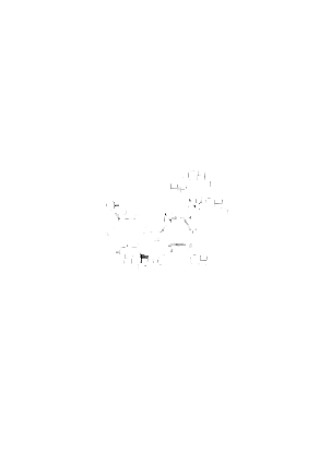 CPN(C)c1cc(C)c(C)c(C2CC(=O)CCC2C)n1